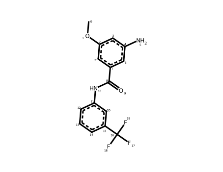 COc1cc(N)cc(C(=O)Nc2cccc(C(F)(F)F)c2)c1